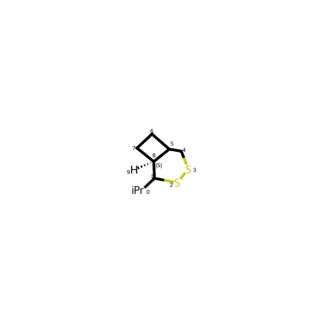 CC(C)C1SSCC2CC[C@@H]21